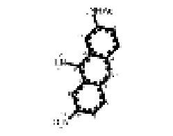 CC(=O)Nc1ccc2nc3ccc([N+](=O)[O-])cc3c(N)c2c1